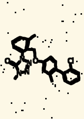 Cc1cc(OCc2c(C)cccc2-n2nnn(C)c2=O)ccc1-c1ccccc1Cl